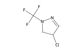 FC(F)(F)N1[CH]C(Cl)[C]=N1